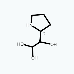 OC(O)C(O)[C@@H]1CCCN1